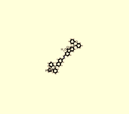 CC1(C)c2cc(/C=C/c3ccc4cc(N5c6ccccc6[SH]6(C)(CCCC6)c6ccccc65)ccc4c3)ccc2-c2ccc(N3c4ccccc4Oc4ccccc43)cc21